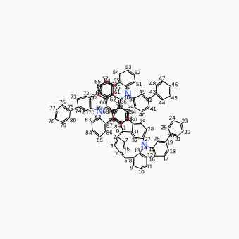 CC12c3ccc(cc3)-c3ccccc3N(c3cccc(-c4ccccc4)c3)c3ccc(c1c3)-c1cc3c(N(c4cccc(-c5ccccc5)c4)c4ccccc4-c4ccccc4)c4ccccc4c(N(c4cccc(-c5ccccc5)c4)c4ccccc4-c4ccccc4)c3cc12